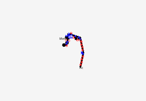 COc1cnc(-n2cnc(C(=O)NCCCN(CCCN3CCN(CCOCCOCCOCCOCc4cn(CCOCCOCCOCCOCCC(C)=O)nn4)CC3)C(=O)C3CC(O)C3)n2)c2[nH]cc(C(=O)C(=O)N3CCN(C(=O)c4ccccc4)CC3)c12